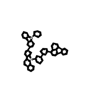 c1ccc(-n2c3ccccc3c3cc(-c4ccc5c6ccc7ccccc7c6n(-c6cccc(-c7cccc(-c8ccc9c%10c(cccc8%10)-c8ccccc8-9)c7)c6)c5c4)ccc32)cc1